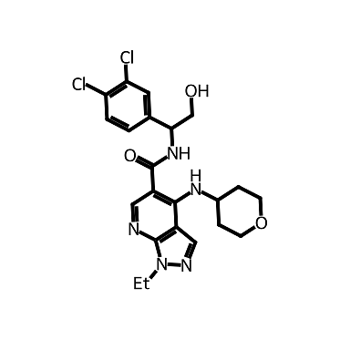 CCn1ncc2c(NC3CCOCC3)c(C(=O)NC(CO)c3ccc(Cl)c(Cl)c3)cnc21